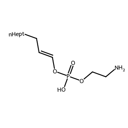 CCCCCCCCC=COP(=O)(O)OCCN